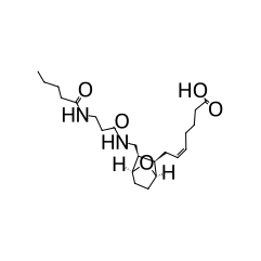 CCCCC(=O)NCCC(=O)NC[C@H]1[C@@H](C/C=C\CCCC(=O)O)[C@H]2CC[C@@H]1O2